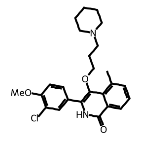 COc1ccc(-c2[nH]c(=O)c3cccc(C)c3c2OCCCN2CCCCC2)cc1Cl